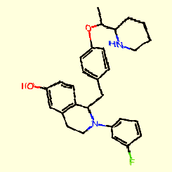 CC(Oc1ccc(CC2c3ccc(O)cc3CCN2c2cccc(F)c2)cc1)C1CCCCN1